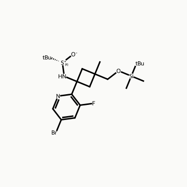 CC1(CO[Si](C)(C)C(C)(C)C)CC(N[S@@+]([O-])C(C)(C)C)(c2ncc(Br)cc2F)C1